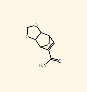 NC(=O)C1=CC2OC1C1OCOC21